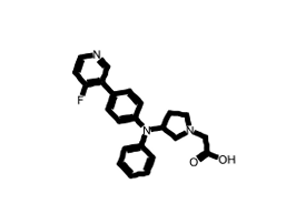 O=C(O)CN1CCC(N(c2ccccc2)c2ccc(-c3cnccc3F)cc2)C1